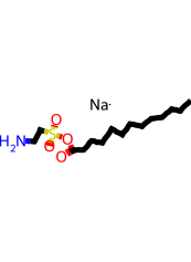 CCCCCCCCCCCCC(=O)OS(=O)(=O)CCN.[Na]